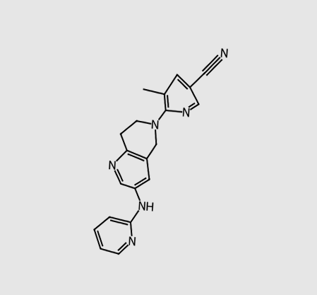 Cc1cc(C#N)cnc1N1CCc2ncc(Nc3ccccn3)cc2C1